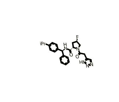 CC(C)c1ccc([C@@H](NC(=O)[C@@H]2C[C@@H](F)CN2C(=O)Cc2cnn[nH]2)c2ccccc2)cc1